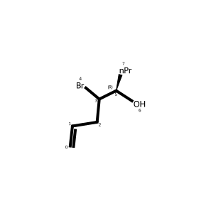 C=CCC(Br)[C@H](O)CCC